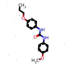 CCCOc1ccc(NC(=O)Nc2ccc(OC)cc2)cc1